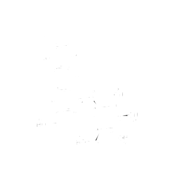 CCc1ccc(Cc2ccc(CO)cc2O[C@@H]2S[C@H](CO)[C@@H](O)[C@H](O)[C@H]2O)cc1